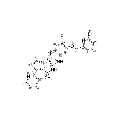 CC(NC(=O)Nc1cc(OCc2cccc(Br)n2)c(Cl)cc1Cl)c1ncnn1-c1ncccn1